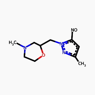 Cc1cc(N=O)n(CC2CN(C)CCO2)n1